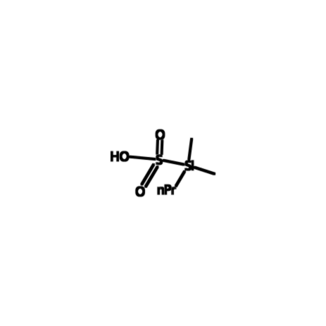 [CH2]CC[Si](C)(C)S(=O)(=O)O